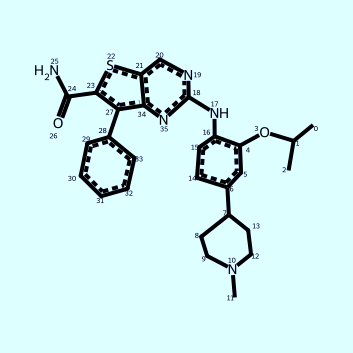 CC(C)Oc1cc(C2CCN(C)CC2)ccc1Nc1ncc2sc(C(N)=O)c(-c3ccccc3)c2n1